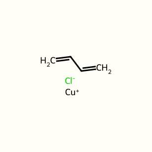 C=CC=C.[Cl-].[Cu+]